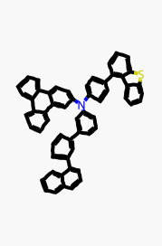 c1cc(-c2cccc(N(c3ccc(-c4cccc5sc6ccccc6c45)cc3)c3ccc4c5ccccc5c5ccccc5c4c3)c2)cc(-c2cccc3ccccc23)c1